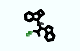 CC(C)[CH]([Zr+2][CH]1C2=C(CC2)c2ccccc21)C1C=Cc2ccccc21.[Cl-].[Cl-]